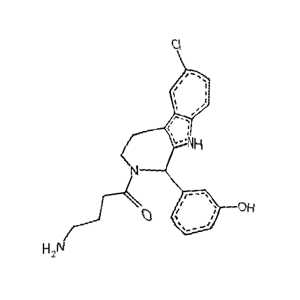 NCCCC(=O)N1CCc2c([nH]c3ccc(Cl)cc23)C1c1cccc(O)c1